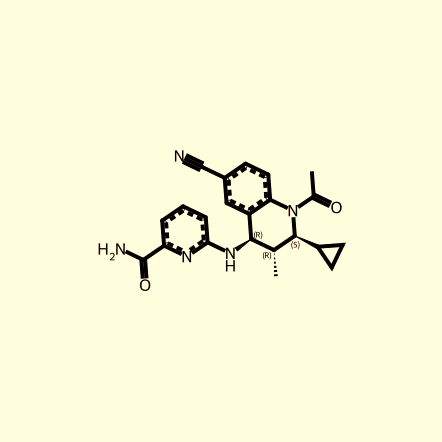 CC(=O)N1c2ccc(C#N)cc2[C@H](Nc2cccc(C(N)=O)n2)[C@@H](C)[C@@H]1C1CC1